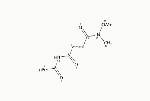 CCCC(=O)NC(=O)/C=C/C(=O)N(C)OC